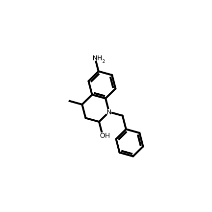 CC1CC(O)N(Cc2ccccc2)c2ccc(N)cc21